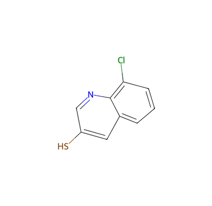 Sc1cnc2c(Cl)cccc2c1